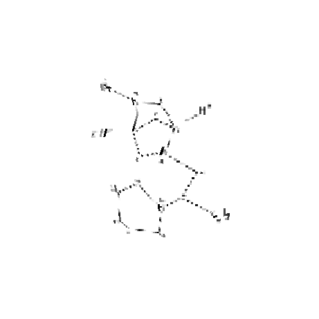 CC(CN1C[C@@H]2C[C@H]1CN2C(C)C)N1CCCCC1